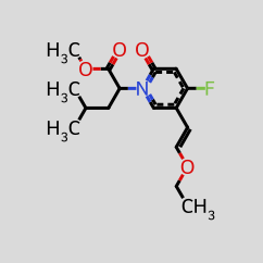 CCO/C=C/c1cn(C(CC(C)C)C(=O)OC)c(=O)cc1F